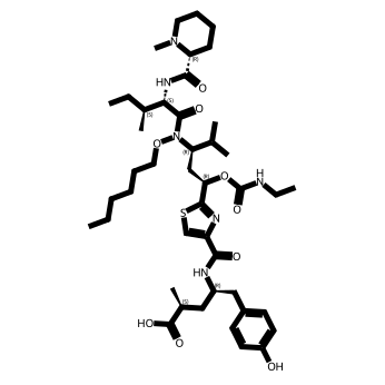 CCCCCCON(C(=O)[C@@H](NC(=O)[C@H]1CCCCN1C)[C@@H](C)CC)[C@H](C[C@@H](OC(=O)NCC)c1nc(C(=O)N[C@@H](Cc2ccc(O)cc2)C[C@H](C)C(=O)O)cs1)C(C)C